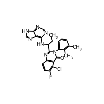 CCC(Nc1ncnc2[nH]cnc12)c1nc2ccc(F)c(Cl)c2c(=O)n1-c1cccc(C)c1C